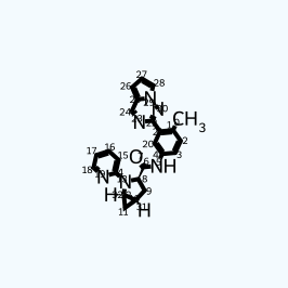 Cc1ccc(NC(=O)[C@H]2C[C@H]3C[C@H]3N2c2ccccn2)cc1-c1ncc2cccn2n1